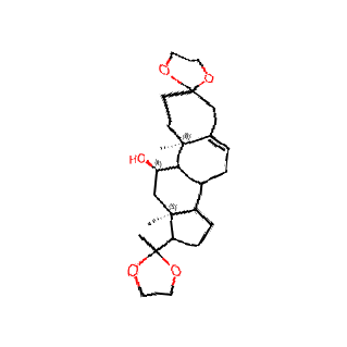 CC1(C2CCC3C4CC=C5CC6(CC[C@]5(C)C4[C@H](O)C[C@@]32C)OCCO6)OCCO1